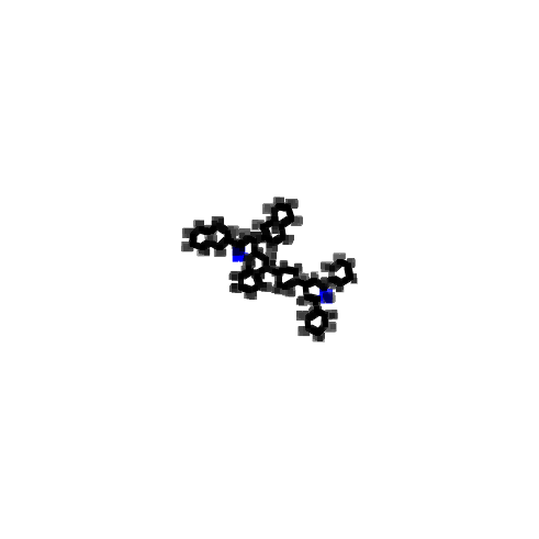 c1ccc(-c2cc(-c3ccc(-c4cc5c(-c6ccc7ccccc7c6)cc(-c6ccc7ccccc7c6)nc5c5ccccc45)cc3)cc(-c3ccccc3)n2)cc1